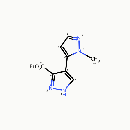 CCOC(=O)c1n[nH]cc1-c1ccnn1C